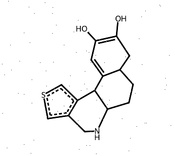 OC1=C(O)CC2CCC3NCc4cscc4C3C2=C1